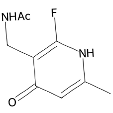 CC(=O)NCc1c(F)[nH]c(C)cc1=O